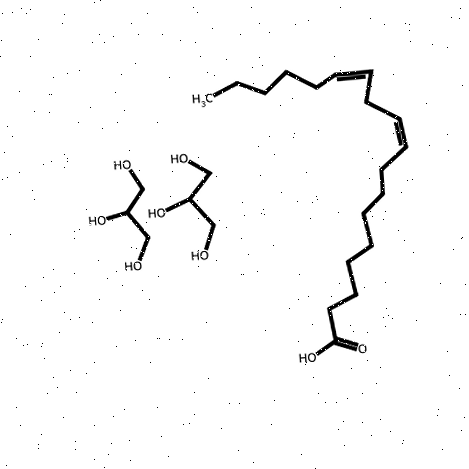 CCCCC/C=C\C/C=C\CCCCCCCC(=O)O.OCC(O)CO.OCC(O)CO